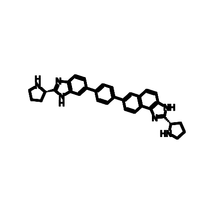 c1cc(-c2ccc3nc([C@@H]4CCCN4)[nH]c3c2)ccc1-c1ccc2c(ccc3[nH]c([C@@H]4CCCN4)nc32)c1